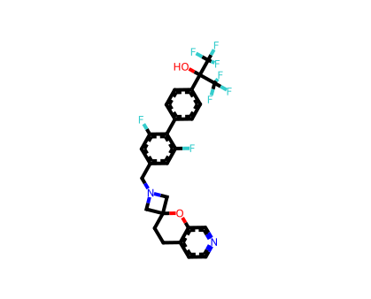 OC(c1ccc(-c2c(F)cc(CN3CC4(CCc5ccncc5O4)C3)cc2F)cc1)(C(F)(F)F)C(F)(F)F